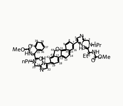 CCCN(Cc1ncc(-c2ccc3c4c(ccc3c2)-c2ccc(-c3cnc(CN(CCC)C(=O)[C@H](NC(=O)OC)c5ccccc5)[nH]3)cc2CO4)[nH]1)C(=O)C(CC)NC(=O)OC